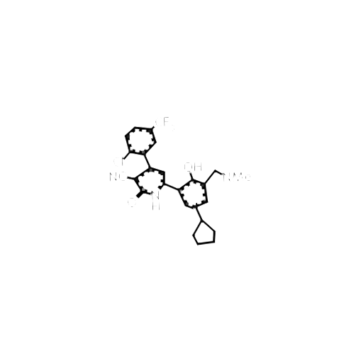 CNCc1cc(C2CCCC2)cc(-c2cc(-c3cc(C(F)(F)F)ccc3Cl)c(C#N)c(=O)[nH]2)c1O